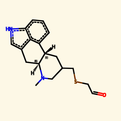 CN1CC(CSCC=O)C[C@H]2c3cccc4[nH]cc(c34)C[C@@H]21